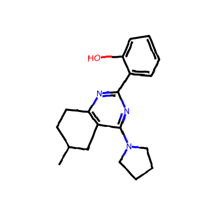 CC1CCc2nc(-c3ccccc3O)nc(N3CCCC3)c2C1